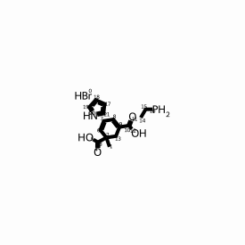 Br.CC1(C(=O)O)C=CC=C(C(=O)O)C1.CCP.c1cc[nH]c1